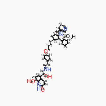 O=C(O)N(c1ccc(CCCCOc2ccc(CCNC[C@H](O)c3ccc(O)c4[nH]c(=O)ccc34)cc2)cc1-c1ccccc1)[C@H]1CN2CCC1CC2